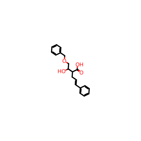 O=C(O)C(CC=Cc1ccccc1)C(O)COCc1ccccc1